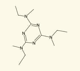 CCN(C)c1nc(N(C)CC)nc(N(C)CC)n1